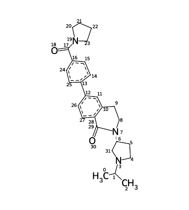 CC(C)N1CC[C@@H](N2CCc3cc(-c4ccc(C(=O)N5CCCC5)cc4)ccc3C2=O)C1